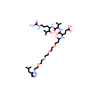 CC(C)Cc1cnnn1CCOCCOCCOCCOCCC(=O)NC(CCC(=O)O)C(=O)NC(C(=O)NC(CCCNC(N)=O)C(=O)C(C)C)C(C)C